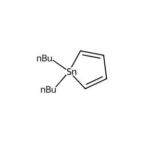 CCC[CH2][Sn]1([CH2]CCC)[CH]=CC=[CH]1